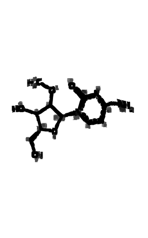 COC1C(O)[C@H](CO)O[C@@H]1n1ccc(N)nc1=O